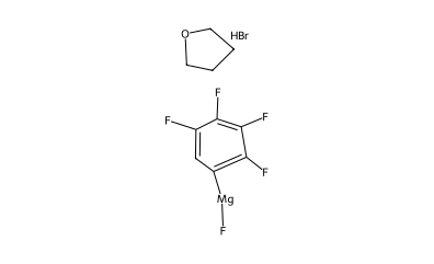 Br.C1CCOC1.[F][Mg][c]1cc(F)c(F)c(F)c1F